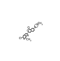 Cc1nc(Cl)cn2cc(-c3cc4ccc(N5CCN(C)CC5)cc4c(=O)o3)nc12